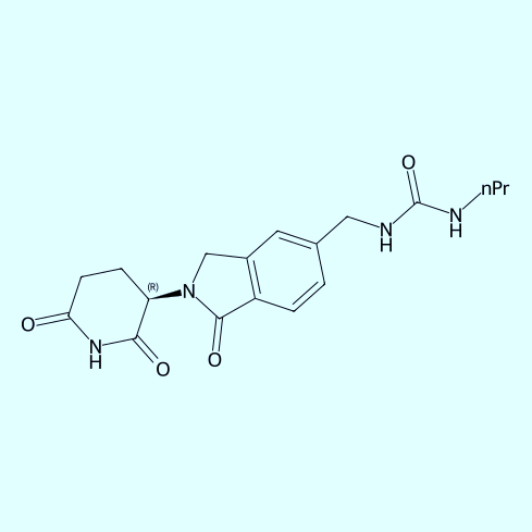 CCCNC(=O)NCc1ccc2c(c1)CN([C@@H]1CCC(=O)NC1=O)C2=O